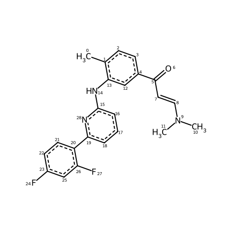 Cc1ccc(C(=O)/C=C/N(C)C)cc1Nc1cccc(-c2ccc(F)cc2F)n1